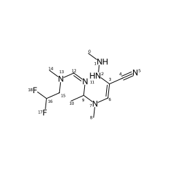 CNN/C(C#N)=C\N(C)C(C)/N=C\N(C)CC(F)F